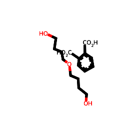 O=C(O)c1ccccc1C(=O)O.OCCCCOCCCCO